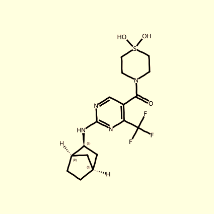 O=C(c1cnc(N[C@H]2C[C@H]3CC[C@@H]2C3)nc1C(F)(F)F)N1CCS(O)(O)CC1